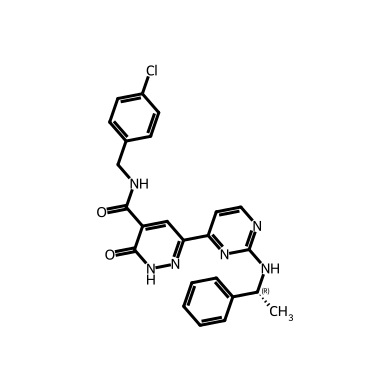 C[C@@H](Nc1nccc(-c2cc(C(=O)NCc3ccc(Cl)cc3)c(=O)[nH]n2)n1)c1ccccc1